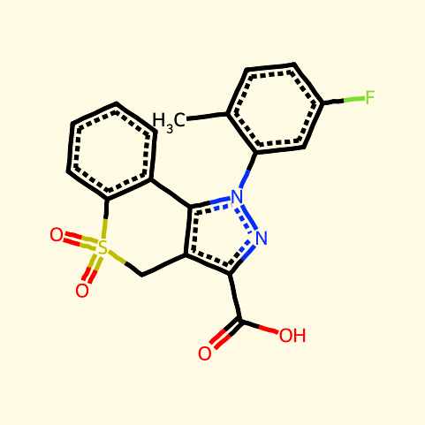 Cc1ccc(F)cc1-n1nc(C(=O)O)c2c1-c1ccccc1S(=O)(=O)C2